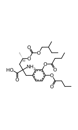 CCCC(=O)Oc1ccc(CC(N)(C[C@H](C)OC(=O)OCC(C)CC)C(=O)O)cc1OC(=O)CCC